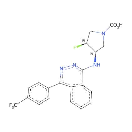 O=C(O)N1C[C@H](F)[C@H](Nc2nnc(-c3ccc(C(F)(F)F)cc3)c3ccccc23)C1